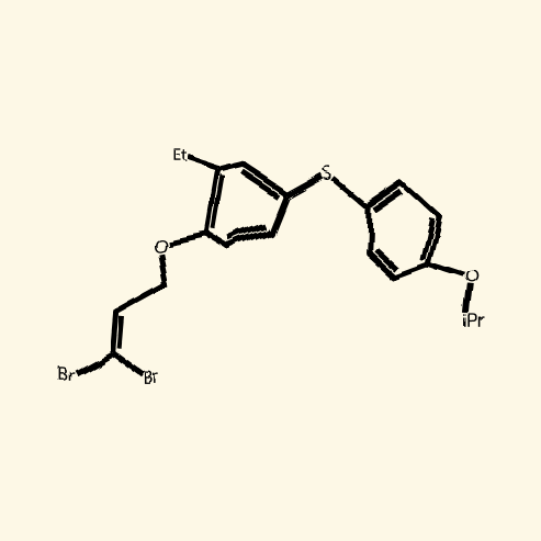 CCc1cc(Sc2ccc(OC(C)C)cc2)ccc1OCC=C(Br)Br